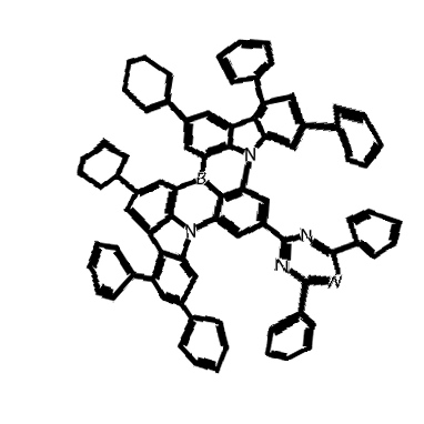 c1ccc(-c2cc(-c3ccccc3)c3c4cc(C5CCCCC5)cc5c4n(c3c2)-c2cc(-c3nc(-c4ccccc4)nc(-c4ccccc4)n3)cc3c2B5c2cc(C4CCCCC4)cc4c5c(-c6ccccc6)cc(-c6ccccc6)cc5n-3c24)cc1